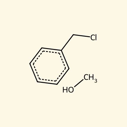 CO.ClCc1ccccc1